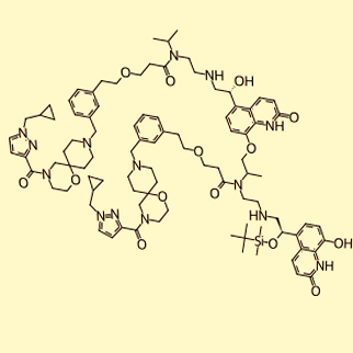 CC(C)N(CCNC[C@H](O)c1ccc(OCC(C)N(CCNC[C@H](O[Si](C)(C)C(C)(C)C)c2ccc(O)c3[nH]c(=O)ccc23)C(=O)CCOCCc2cccc(CN3CCC4(CC3)CN(C(=O)c3ccn(CC5CC5)n3)CCO4)c2)c2[nH]c(=O)ccc12)C(=O)CCOCCc1cccc(CN2CCC3(CC2)CN(C(=O)c2ccn(CC4CC4)n2)CCO3)c1